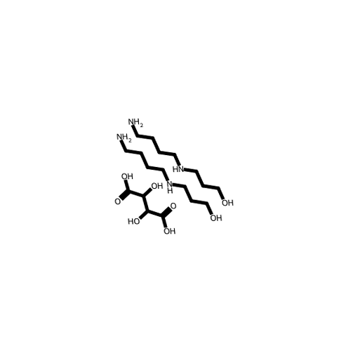 NCCCCNCCCO.NCCCCNCCCO.O=C(O)C(O)C(O)C(=O)O